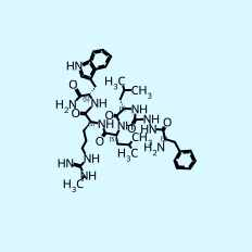 CNC(=N)NCCC[C@H](NC(=O)[C@H](CC(C)C)NC(=O)[C@H](CC(C)C)NC(=O)NNC(=O)[C@@H](N)Cc1ccccc1)C(=O)N[C@@H](Cc1c[nH]c2ccccc12)C(N)=O